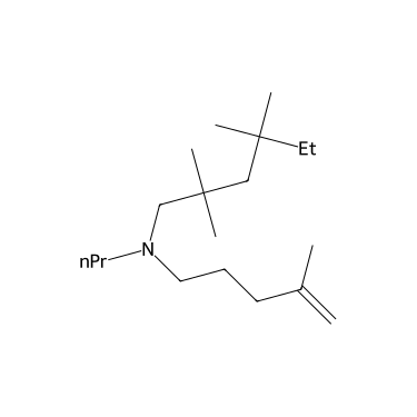 C=C(C)CCCN(CCC)CC(C)(C)CC(C)(C)CC